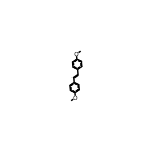 COc1ccc([C]=Cc2ccc(OC)cc2)cc1